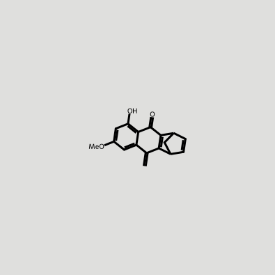 C=C1C2=C(C(=O)c3c(O)cc(OC)cc31)C1C=CC2C1